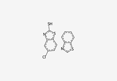 Sc1nc2cc(Cl)ccc2s1.c1ccc2scnc2c1